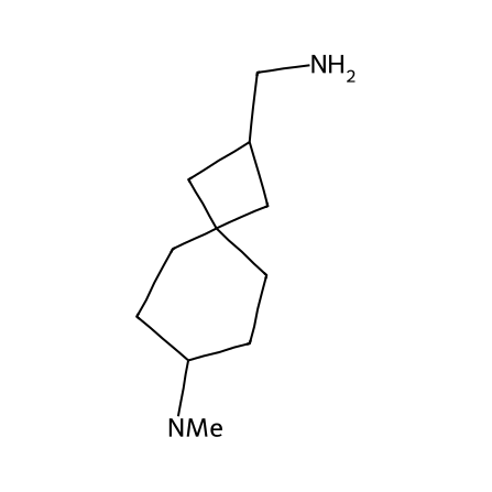 CNC1CCC2(CC1)CC(CN)C2